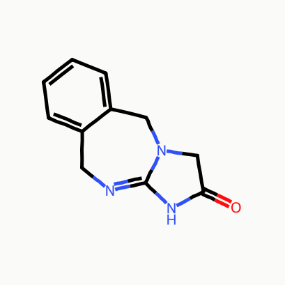 O=C1CN2Cc3ccccc3CN=C2N1